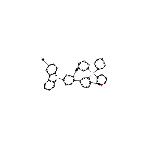 N#Cc1ccc2c(c1)c1ccccc1n2-c1ccc(-c2ccc(C#N)c([Si](c3ccccc3)(c3ccccc3)c3ccccc3)c2)c(C#N)c1